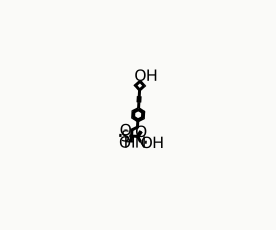 CC(CCc1ccc(C#CC2CC(O)C2)cc1)(C(=O)NO)S(C)(=O)=O